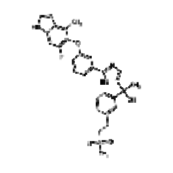 Cc1c(Oc2cccc(-c3ncc(C(C)(O)c4cccc(CCS(C)(=O)=O)c4)[nH]3)c2)c(F)cc2[nH]ccc12